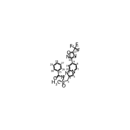 CS(=O)(Cc1cn2ccc(-c3noc(C(F)(F)F)n3)cc2n1)=NC(=O)c1ccccc1